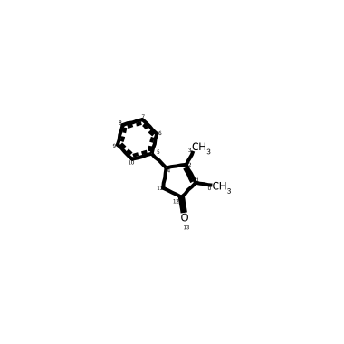 CC1=C(C)C(c2ccccc2)CC1=O